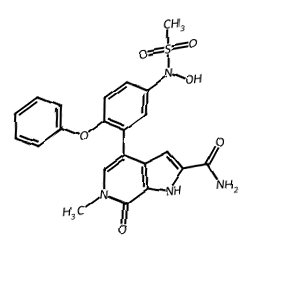 Cn1cc(-c2cc(N(O)S(C)(=O)=O)ccc2Oc2ccccc2)c2cc(C(N)=O)[nH]c2c1=O